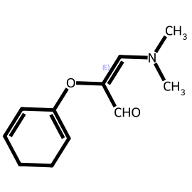 CN(C)/C=C(\C=O)OC1=CCCC=C1